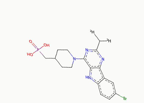 [2H]C([2H])c1nc(N2CCC(CP(=O)(O)O)CC2)c2[nH]c3ccc(Br)cc3c2n1